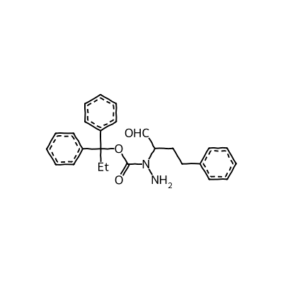 CCC(OC(=O)N(N)C(C=O)CCc1ccccc1)(c1ccccc1)c1ccccc1